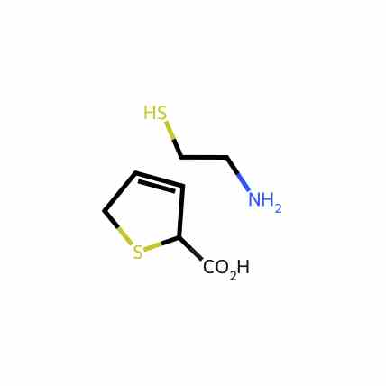 NCCS.O=C(O)C1C=CCS1